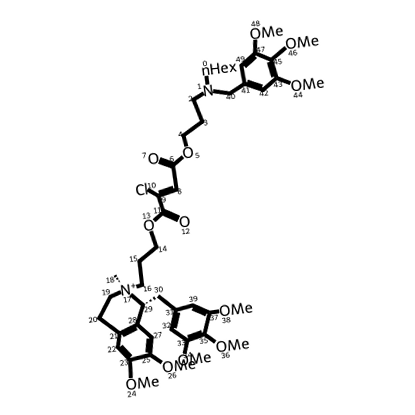 CCCCCCN(CCCOC(=O)/C=C(\Cl)C(=O)OCCC[N@+]1(C)CCc2cc(OC)c(OC)cc2[C@H]1Cc1cc(OC)c(OC)c(OC)c1)Cc1cc(OC)c(OC)c(OC)c1